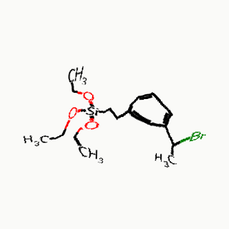 CCO[Si](CCc1cccc(C(C)Br)c1)(OCC)OCC